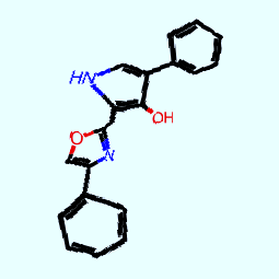 Oc1c(-c2ccccc2)c[nH]c1-c1nc(-c2ccccc2)co1